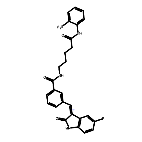 Nc1ccccc1NC(=O)CCCCNC(=O)c1cccc(/C=C2\C(=O)Nc3ccc(F)cc32)c1